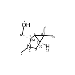 CN1C[C@H]2C([C@H]1CO)C2(C)C